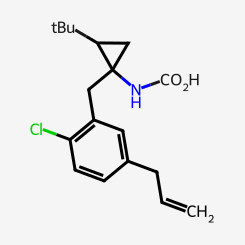 C=CCc1ccc(Cl)c(CC2(NC(=O)O)CC2C(C)(C)C)c1